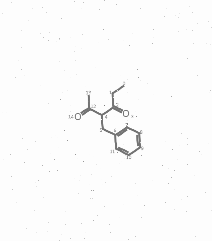 CCC(=O)C(Cc1ccccc1)C(C)=O